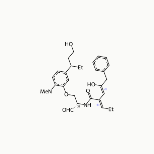 CC/C=C(\C=C(/O)Cc1ccccc1)C(=O)N[C@H](C=O)COc1cc(C(CC)CCO)ccc1NC